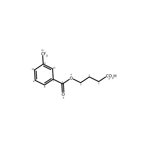 O=C(O)CCCOC(=O)c1cccc(C(F)(F)F)c1